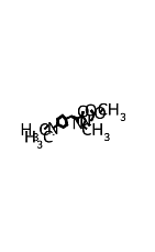 CCN(CC)c1ccc(/C=C2\N=C(C)N(CC(=O)OC)C2=O)cc1